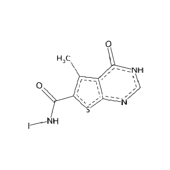 Cc1c(C(=O)NI)sc2nc[nH]c(=O)c12